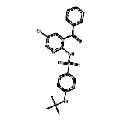 CC(C)(C)Nc1ccc(S(=O)(=O)Nc2ncc(Cl)cc2C(=O)c2ccccc2)cc1